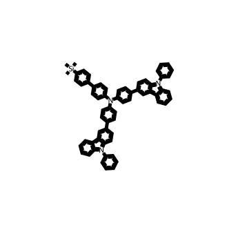 C[Si](C)(C)c1ccc(-c2ccc(N(c3ccc(-c4ccc5c(c4)c4ccccc4n5-c4ccccc4)cc3)c3ccc(-c4ccc5c(c4)c4ccccc4n5-c4ccccc4)cc3)cc2)cc1